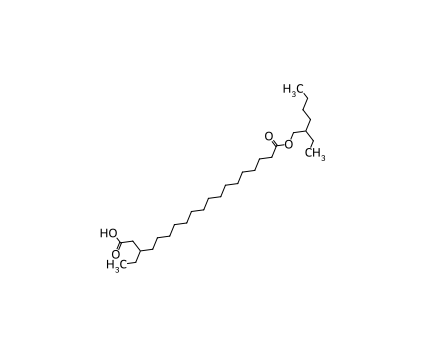 CCCCC(CC)COC(=O)CCCCCCCCCCCCCCCC(CC)CC(=O)O